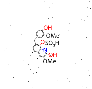 COc1cc(Cc2ccc3cc(OC)c(O)nc3c2OS(=O)(=O)O)ccc1O